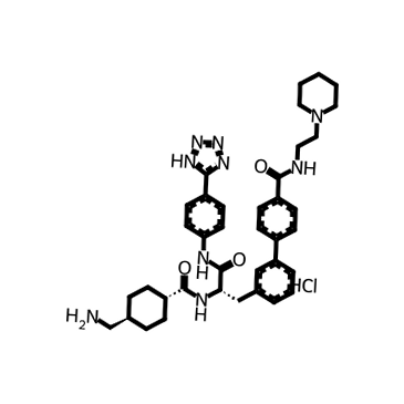 Cl.NC[C@H]1CC[C@H](C(=O)N[C@@H](Cc2cccc(-c3ccc(C(=O)NCCN4CCCCC4)cc3)c2)C(=O)Nc2ccc(-c3nnn[nH]3)cc2)CC1